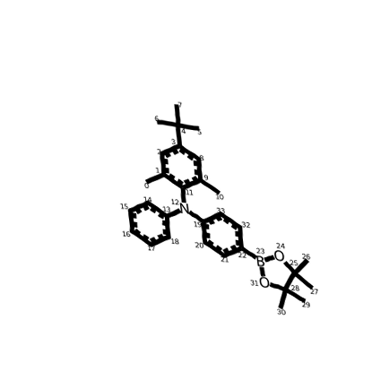 Cc1cc(C(C)(C)C)cc(C)c1N(c1ccccc1)c1ccc(B2OC(C)(C)C(C)(C)O2)cc1